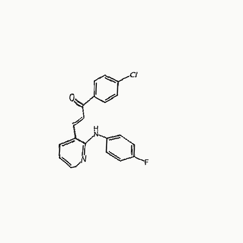 O=C(C=Cc1cccnc1Nc1ccc(F)cc1)c1ccc(Cl)cc1